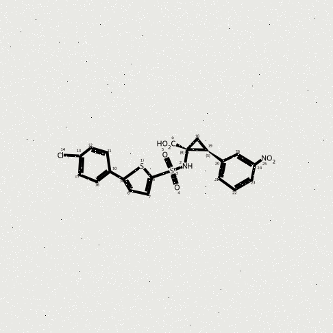 O=C(O)[C@@]1(NS(=O)(=O)c2ccc(-c3ccc(Cl)cc3)s2)C[C@H]1c1cccc([N+](=O)[O-])c1